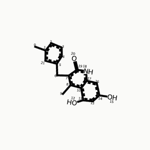 Cc1cccc(Cc2c(C)c3c(O)cc(O)cc3[nH]c2=O)c1